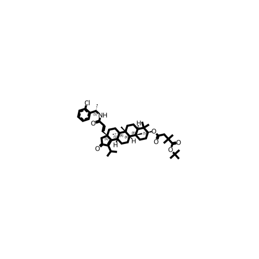 CC(C)C1=C2[C@H]3CC[C@@H]4[C@@]5(C)CC[C@H](OC(=O)CC(C)(C)C(=O)OC(C)(C)C)C(C)(C)[C@@H]5CC[C@@]4(C)[C@]3(C)CC[C@@]2(C=CC(=O)N[C@@H](C)c2ccccc2Cl)CC1=O